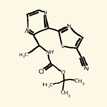 CC(NC(=O)OC(C)(C)C)c1nccnc1-c1ncc(C#N)s1